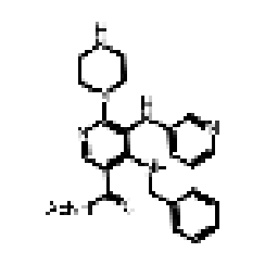 CC(=O)NC(=O)c1cnc(N2CCNCC2)c(Nc2cccnc2)c1NCc1ccccc1